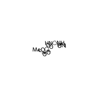 COC1CC(OC(=O)N[C@H]2CC[C@H](NC(=O)CNI)CC2)C[C@]2(CO2)C1[C@@]1(C)O[C@@H]1CC=C(C)C